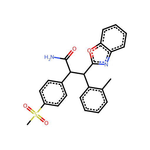 Cc1ccccc1C(c1nc2ccccc2o1)C(C(N)=O)c1ccc(S(C)(=O)=O)cc1